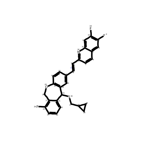 Fc1cc2ccc(/C=C/c3ccc4c(c3)C(SC[C]3CC3)c3cccc(F)c3CO4)nc2cc1F